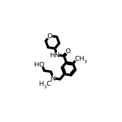 Cc1ccc(CN(C)CCO)cc1C(=O)NC1CCOCC1